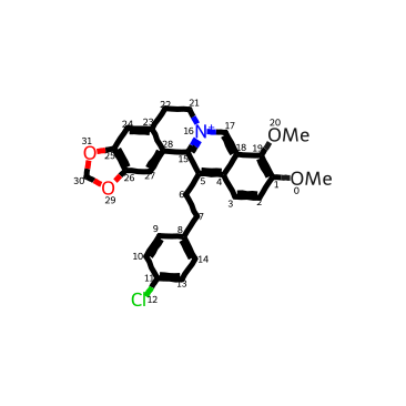 COc1ccc2c(CCc3ccc(Cl)cc3)c3[n+](cc2c1OC)CCc1cc2c(cc1-3)OCO2